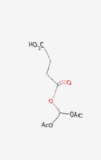 CC(=O)OC(OC(C)=O)OC(=O)CCC(=O)O